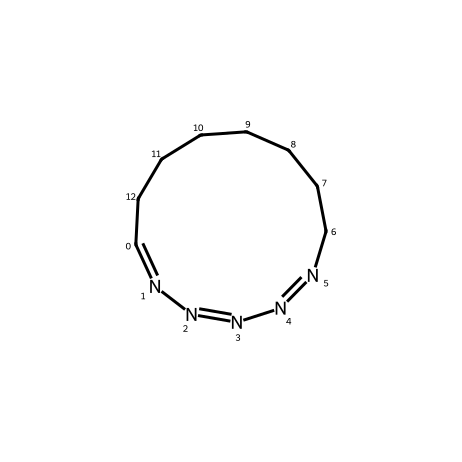 C1=NN=NN=NCCCCCCC1